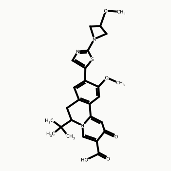 COc1cc2c(cc1-c1cnc(N3CC(OC)C3)s1)CC(C(C)(C)C)n1cc(C(=O)O)c(=O)cc1-2